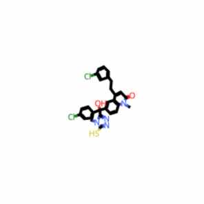 Cn1c(S)nnc1C(O)(c1ccc(Cl)cc1)c1ccc2c(c1)c(CCc1cccc(Cl)c1)cc(=O)n2C